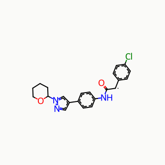 O=C([CH]c1ccc(Cl)cc1)Nc1ccc(-c2cnn(C3CCCCO3)c2)cc1